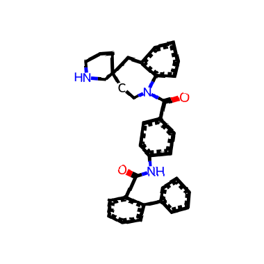 O=C(Nc1ccc(C(=O)N2CCC3(CCCNC3)Cc3ccccc32)cc1)c1ccccc1-c1ccccc1